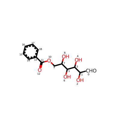 O=CC(O)C(O)C(O)C(O)COC(=O)c1ccccc1